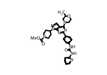 COC(=O)N1CCC(n2ncc3c(N4CCOC(C)C4)nc(-c4ccc(NC(=O)Nc5ccccn5)cc4)nc32)CC1